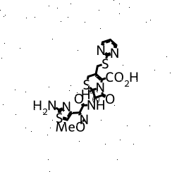 CON=C(C(=O)N[C@@H]1C(=O)N2C(C(=O)O)=C(CSc3ncccn3)CS[C@@H]12)c1csc(N)n1